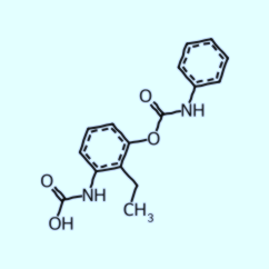 CCc1c(NC(=O)O)cccc1OC(=O)Nc1ccccc1